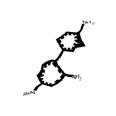 CNc1ccc(-c2ccc(N)cc2)c(N)c1